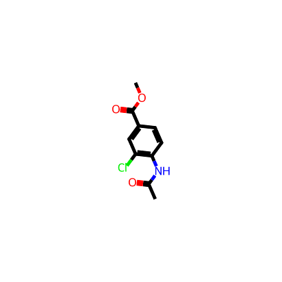 COC(=O)c1ccc(NC(C)=O)c(Cl)c1